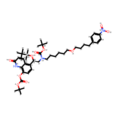 CC(C)(C)OC(=O)Oc1ccc([C@H](CN(CCCCCCOCCCCc2ccc([N+](=O)[O-])cc2)C(=O)OC(C)(C)C)O[Si](C)(C)C(C)(C)C)c2ccc(=O)[nH]c12